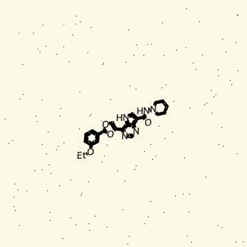 CCOc1cccc(C2OC=C(c3ncnc4c(C(=O)NN5CCCCC5)c[nH]c34)O2)c1